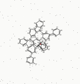 Cc1cccc(-c2nc(-c3ccccc3)nc(-c3ccccc3-n3c4ccccc4c4c3ccc3c5ccccc5n(-c5cc(-c6ccccc6)nc(-c6ccccc6)n5)c34)n2)c1